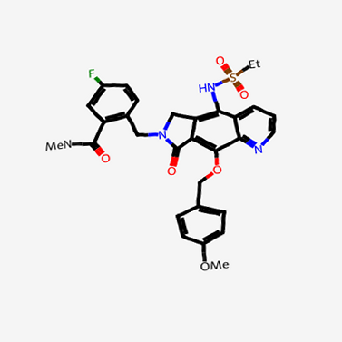 CCS(=O)(=O)Nc1c2c(c(OCc3ccc(OC)cc3)c3ncccc13)C(=O)N(Cc1ccc(F)cc1C(=O)NC)C2